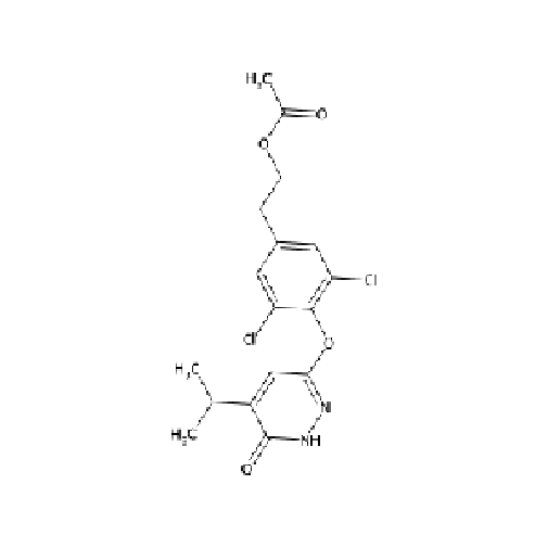 CC(=O)OCCc1cc(Cl)c(Oc2cc(C(C)C)c(=O)[nH]n2)c(Cl)c1